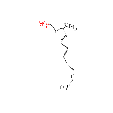 CCCCCC/C=C/C(C)CCO